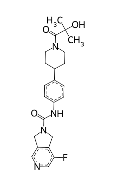 CC(C)(O)C(=O)N1CCC(c2ccc(NC(=O)N3Cc4cncc(F)c4C3)cc2)CC1